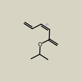 C=C/C=C\C(=C)OC(C)C